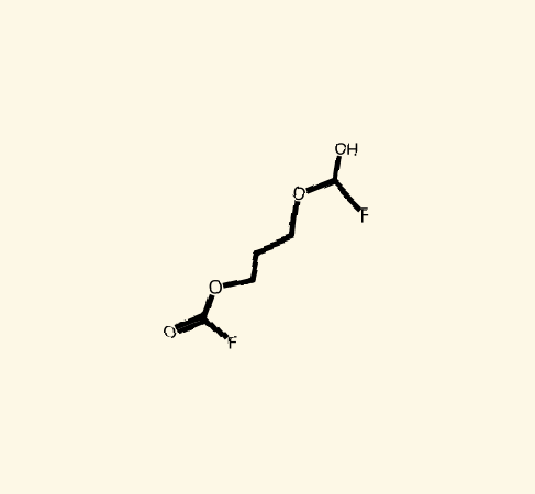 O=C(F)OCCCOC(O)F